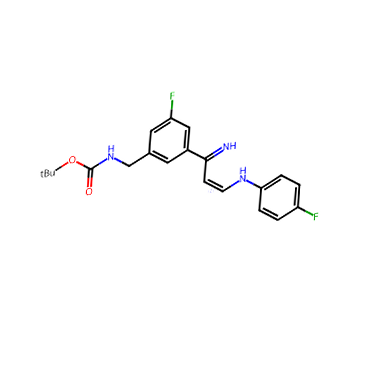 CC(C)(C)OC(=O)NCc1cc(F)cc(C(=N)/C=C\Nc2ccc(F)cc2)c1